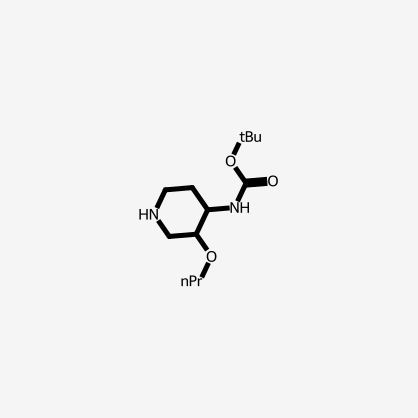 CCCOC1CNCCC1NC(=O)OC(C)(C)C